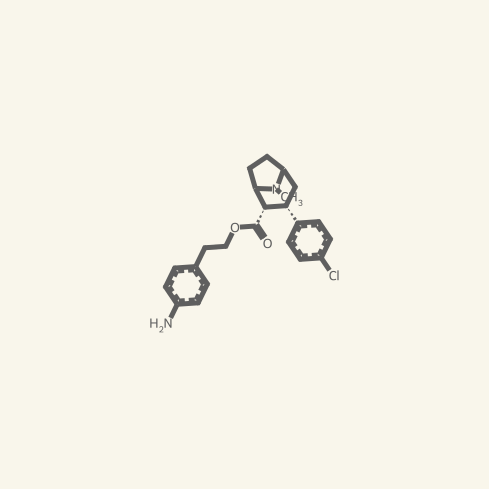 CN1C2CCC1[C@@H](C(=O)OCCc1ccc(N)cc1)[C@@H](c1ccc(Cl)cc1)C2